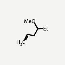 C=CC[C](CC)OC